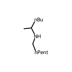 CCCCCCNC(C)CCCC